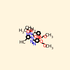 C#Cc1cccc(N(c2ncnc3cc(OCCOC)c(OCCOC)cc23)C(O)[C@H](Cc2ccccc2)NC(=O)OC(C)(C)C)c1